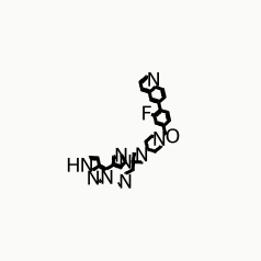 C=NCCC1(n2cc(-c3ncnc4[nH]ccc34)cn2)CN(C2CCN(C(=O)c3ccc(-c4ccc5ncccc5c4)c(F)c3)CC2)C1